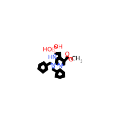 COC(=O)c1cnc(N(Cc2ccccc2)Cc2ccccc2)c2[nH]c(B(O)O)cc12